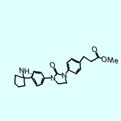 COC(=O)CCc1ccc(N2CCN(c3ccc(C4(N)CCCC4)cc3)C2=O)cc1